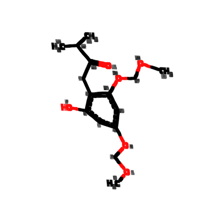 COCOc1cc(O)c(CC(=O)C(C)C)c(OCOC)c1